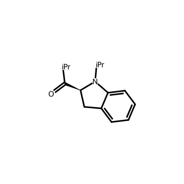 CC(C)C(=O)[C@@H]1Cc2ccccc2N1C(C)C